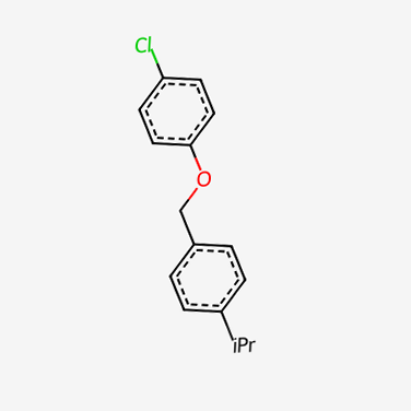 CC(C)c1ccc(COc2ccc(Cl)cc2)cc1